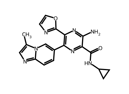 Cc1cnc2ccc(-c3nc(C(=O)NC4CC4)c(N)nc3-c3ncco3)cn12